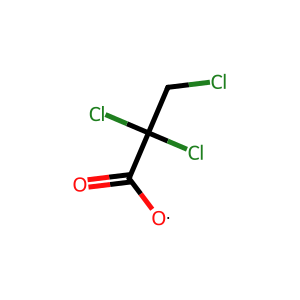 [O]C(=O)C(Cl)(Cl)CCl